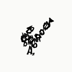 COc1cccnc1-c1nc(C(N)=O)c(Nc2ccc(N3CCC(N4CCN(C5CC5)CC4)CC3)cc2)nc1NC1CCOC2(CC2)C1